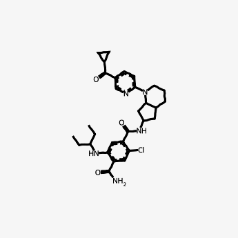 CCC(CC)Nc1cc(C(=O)NC2CC3CCCN(c4ccc(C(=O)C5CC5)cn4)C3C2)c(Cl)cc1C(N)=O